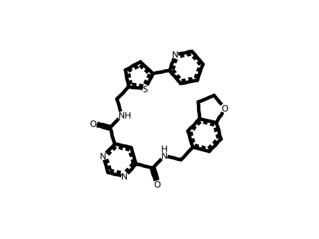 O=C(NCc1ccc2c(c1)CCO2)c1cc(C(=O)NCc2ccc(-c3ccccn3)s2)ncn1